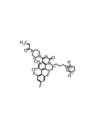 C=CC(=O)N1CCN(c2nc(=O)n3c4c(c(-c5c(F)cc(F)cc5F)c(Cl)cc24)SC[C@@H]3CCCN2C[C@H]3CC[C@@H]2C3)[C@@H](C)C1